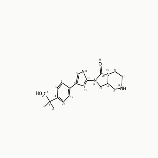 CC(C)(C(=O)O)c1ccc(-c2csc(N3CC4CNCCN4C3=O)n2)cc1